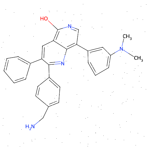 CN(C)c1cccc(-c2cnc(O)c3cc(-c4ccccc4)c(-c4ccc(CN)cc4)nc23)c1